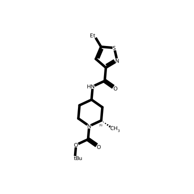 CCc1cc(C(=O)NC2CCN(C(=O)OC(C)(C)C)[C@@H](C)C2)ns1